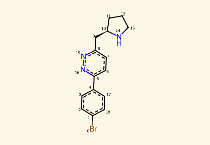 Brc1ccc(-c2ccc(C[C@H]3CCCN3)nn2)cc1